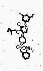 CC1(COc2c(N3CCN(S(=O)(=O)Cc4ccccc4N)CC3)cnn(-c3cc(F)cc(F)c3)c2=O)CC1